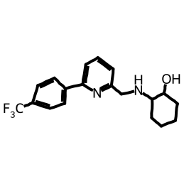 OC1CCCCC1NCc1cccc(-c2ccc(C(F)(F)F)cc2)n1